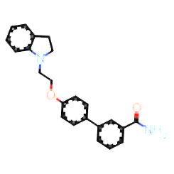 NC(=O)c1cccc(-c2ccc(OCCN3CCc4ccccc43)cc2)c1